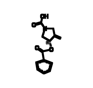 C=C1CN(C(=O)O)C[C@H]1OC(=O)c1ccccc1